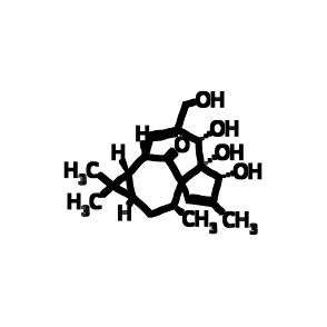 CC1=C[C@@]23C(=O)[C@@H](C=C(CO)[C@H](O)[C@@]2(O)[C@@H]1O)[C@@H]1[C@H](C[C@@H]3C)C1(C)C